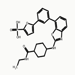 CCNC(=O)C1CCC(Nc2nc3cccc(-c4cccc(-c5ccc(P(=O)(O)O)o5)c4)c3s2)CC1